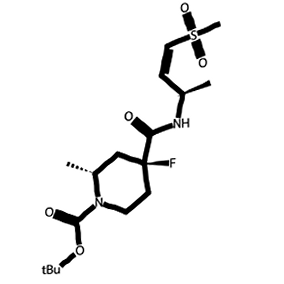 C[C@H](/C=C\S(C)(=O)=O)NC(=O)[C@]1(F)CCN(C(=O)OC(C)(C)C)[C@H](C)C1